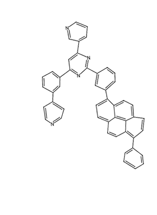 c1ccc(-c2ccc3ccc4c(-c5cccc(-c6nc(-c7cccnc7)cc(-c7cccc(-c8ccncc8)c7)n6)c5)ccc5ccc2c3c54)cc1